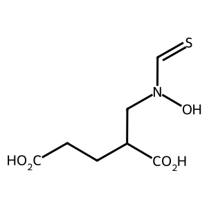 O=C(O)CCC(CN(O)C=S)C(=O)O